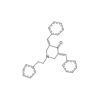 O=C1C(=Cc2ccccc2)CN(CCc2ccccc2)CC1=Cc1ccccc1